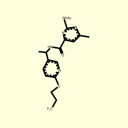 CC(=O)Nc1nc(C)cc(C(=O)NC(C)c2ccc(OCCC(F)(F)F)nc2)n1